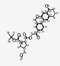 COC[C@@H]1C[C@H](C(=O)OCC(=O)c2ccc3c(c2)COc2cc4c(cc2-3)CCCC4=O)N(C(=O)OC(C)(C)C)C1